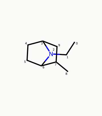 CCN1C2CCC1C(C)C2